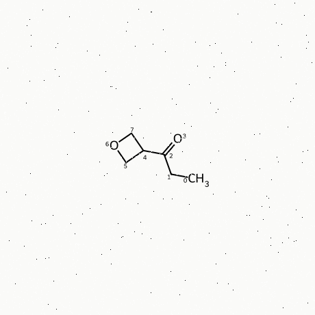 CCC(=O)C1COC1